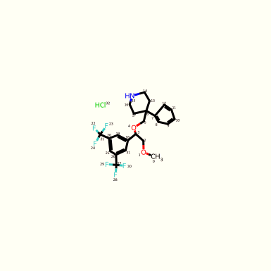 COCC(OCC1(c2ccccc2)CCNCC1)c1cc(C(F)(F)F)cc(C(F)(F)F)c1.Cl